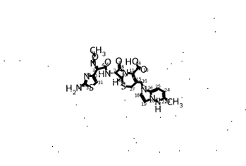 CO/N=C(\C(=O)N[C@@H]1C(=O)N2C(C(=O)O)=C(CN3C=CN4NC(C)=CC=C34)CS[C@@H]12)c1csc(N)n1